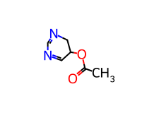 CC(=O)OC1C=NC=NC1